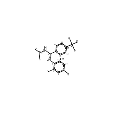 Cc1cc(C)c(/N=C(/NP(C)C)c2ccc(C(C)(C)C)cc2)c(C)c1